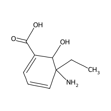 CCC1(N)C=CC=C(C(=O)O)C1O